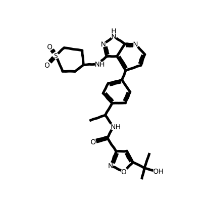 CC(NC(=O)c1cc(C(C)(C)O)on1)c1ccc(-c2ccnc3[nH]nc(NC4CCS(=O)(=O)CC4)c23)cc1